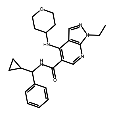 CCn1ncc2c(NC3CCOCC3)c(C(=O)NC(c3ccccc3)C3CC3)cnc21